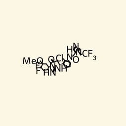 COC1CC(N2C(=N)N[C@H](c3cccc(NC(=O)c4cncn4CC(F)(F)F)c3Cl)CC2=O)CCC1(F)F